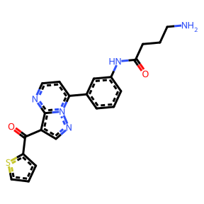 NCCCC(=O)Nc1cccc(-c2ccnc3c(C(=O)c4cccs4)cnn23)c1